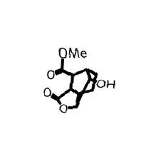 COC(=O)C1C2CCC3C(OC(=O)C31)C2O